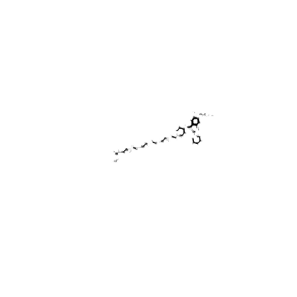 COc1cc2nc(N3CCCCC3)nc(NC3CCN(CCOCCOCCOCCOCCOCCNC(=O)OC(C)(C)C)CC3)c2cc1OC